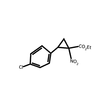 CCOC(=O)C1([N+](=O)[O-])CC1c1ccc(Cl)cc1